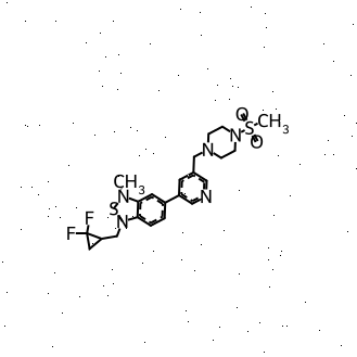 CN1SN(CC2CC2(F)F)c2ccc(-c3cncc(CN4CCN(S(C)(=O)=O)CC4)c3)cc21